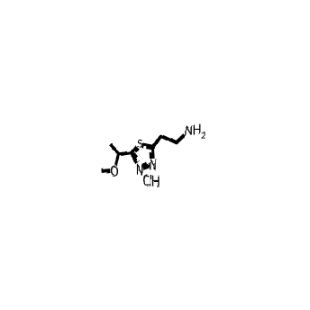 COC(C)c1nnc(CCN)s1.Cl